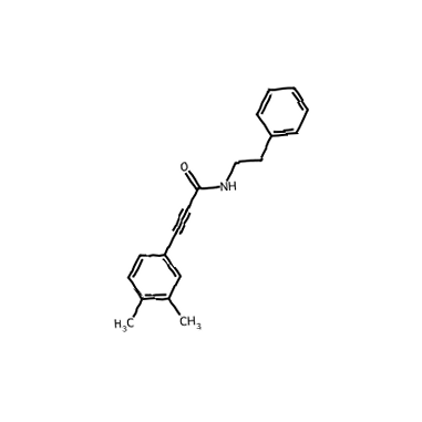 Cc1ccc(C#CC(=O)NCCc2ccccc2)cc1C